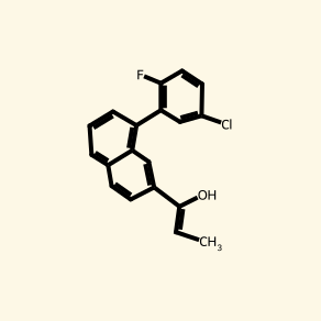 CC=C(O)c1ccc2cccc(-c3cc(Cl)ccc3F)c2c1